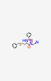 N#CCNC(=O)C(CCSCc1ccccc1)NC(=O)c1ccccc1